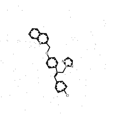 Clc1ccc(C=C(Cn2nccn2)c2ccc(OCc3ccc4ccccc4n3)cc2)cc1